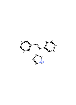 C(=Cc1ccccc1)c1ccccc1.C1=CNCC1